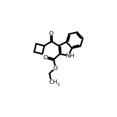 CCOC(=O)c1[nH]c2ccccc2c1C(=O)C1CCC1